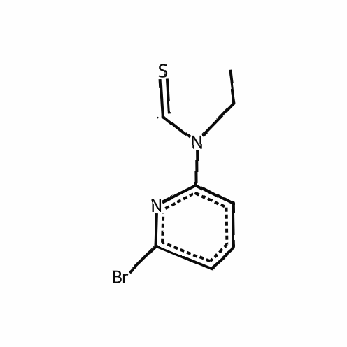 CCN([C]=S)c1cccc(Br)n1